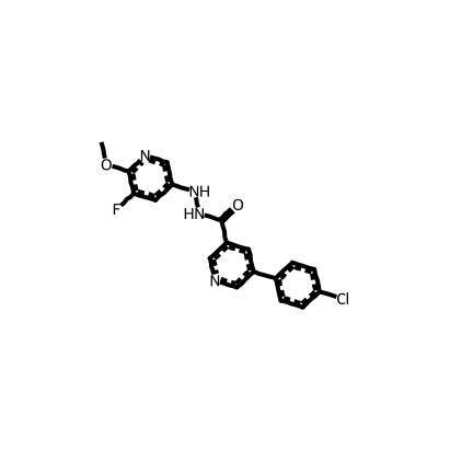 COc1ncc(NNC(=O)c2cncc(-c3ccc(Cl)cc3)c2)cc1F